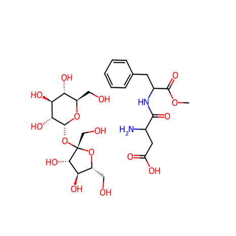 COC(=O)C(Cc1ccccc1)NC(=O)C(N)CC(=O)O.OC[C@H]1O[C@@](CO)(O[C@H]2O[C@H](CO)[C@@H](O)[C@H](O)[C@H]2O)[C@@H](O)[C@@H]1O